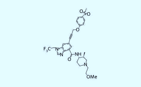 COCCN1CC[C@H](NC(=O)c2cc(C#CCOc3ccc(S(C)(=O)=O)cc3)cc3c2ncn3CC(F)(F)F)[C@@H](C)C1